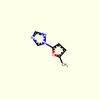 Cc1ccc(-n2cncn2)o1